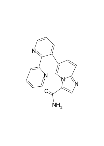 NC(=O)c1cnc2ccc(-c3cccnc3-c3ccccn3)cn12